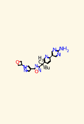 CCC(C)[C@](C)(c1ccc(-c2cnc(N)nc2)nc1)c1noc(-c2cnn(C3COC3)c2)n1